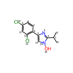 CC(C)c1nc(-c2ccc(Cl)cc2Cl)cn1O